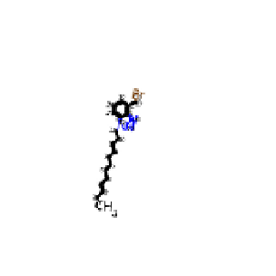 CCCCCCCCCCCCn1nnc2c(CBr)cccc21